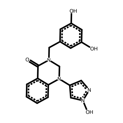 O=C1c2ccccc2N(c2cnn(O)c2)CN1Cc1cc(O)cc(O)c1